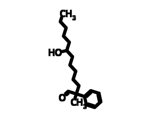 CCCCCC(O)CCCCCC(C)(C=O)c1ccccc1